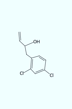 C=CC(O)Cc1ccc(Cl)cc1Cl